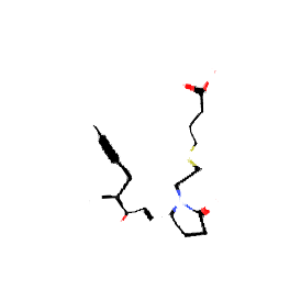 CC#CCC(C)C(O)/C=C/[C@H]1CCC(=O)N1CCSCCCC(=O)O